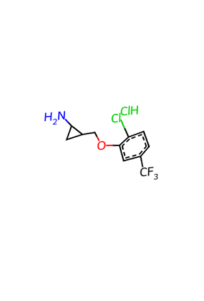 Cl.NC1CC1COc1cc(C(F)(F)F)ccc1Cl